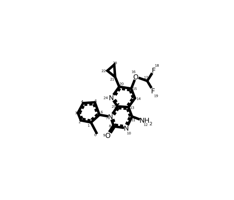 Cc1ccccc1-n1c(=O)nc(N)c2cc(OC(F)F)c(C3CC3)nc21